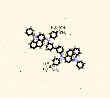 C[Si](C)(C)c1ccc(N(c2cccc(-c3cccc(N(c4ccc([Si](C)(C)C)cc4)c4ccc5c6c4ccc4cccc(c46)n5-c4ccccc4)c3)c2)c2ccc3c4c2ccc2cccc(c24)n3-c2ccccc2)cc1